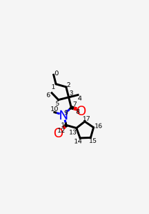 CCCC(C)(CC)C(=O)N(C)C(=O)C1CCCC1